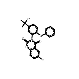 CCC(C)(C)c1ccc(Oc2ccccc2)c(-n2c(=O)oc3ccc(Cl)cc3c2=O)c1